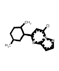 CC1CCC(C)C(c2cc(Cl)n3nccc3n2)C1